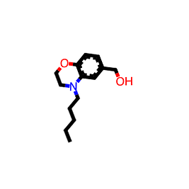 CCCCCN1CCOc2ccc(CO)cc21